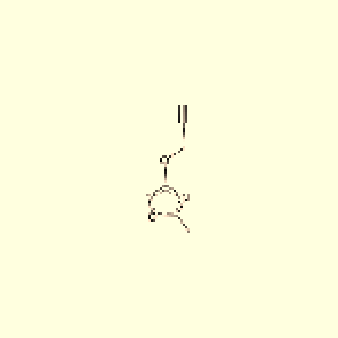 C#CCOc1coc(C)n1